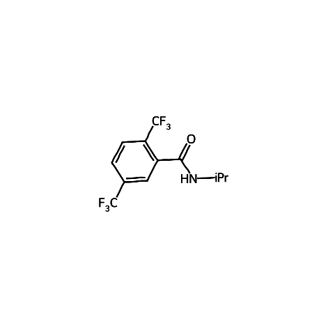 CC(C)NC(=O)c1cc(C(F)(F)F)ccc1C(F)(F)F